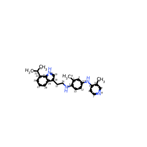 Cc1cc(Nc2ccncc2C)ccc1NCCc1c[nH]c2c(C(C)C)cccc12